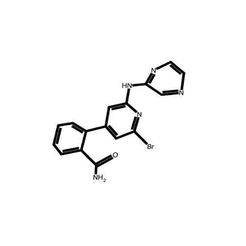 NC(=O)c1ccccc1-c1cc(Br)nc(Nc2cnccn2)c1